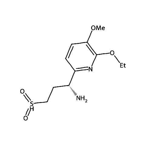 CCOc1nc([C@H](N)CC[SH](=O)=O)ccc1OC